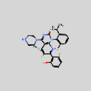 Cc1cccc(C(C)C)c1-n1c(=O)nc(N2CCNC[C@@H]2C)c2cc(F)c(-c3c(O)cccc3F)nc21